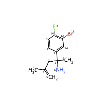 C=C(C)CC(C)(N)c1ccc(F)c(Br)c1